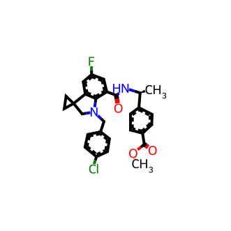 COC(=O)c1ccc([C@H](C)NC(=O)c2cc(F)cc3c2N(Cc2ccc(Cl)cc2)CC32CC2)cc1